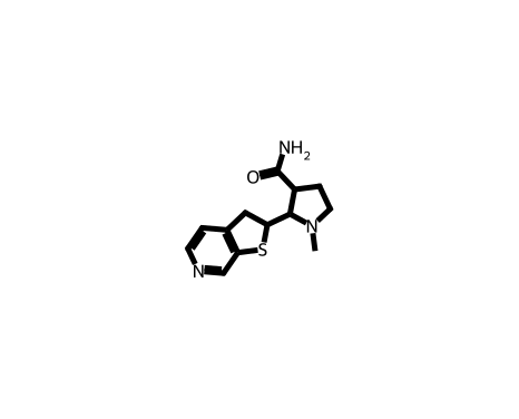 CN1CCC(C(N)=O)C1C1Cc2ccncc2S1